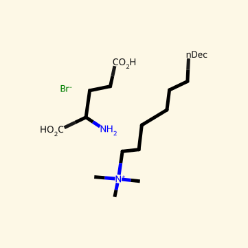 CCCCCCCCCCCCCCCC[N+](C)(C)C.NC(CCC(=O)O)C(=O)O.[Br-]